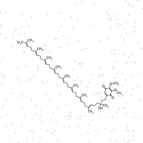 COC1=C(OC)C(=O)C(CCC(C)(O)CC/C=C(\C)CC/C=C(\C)CC/C=C(\C)CC/C=C(\C)CC/C=C(\C)CC/C=C(\C)CC/C=C(\C)CCC=C(C)C)=CC1=O